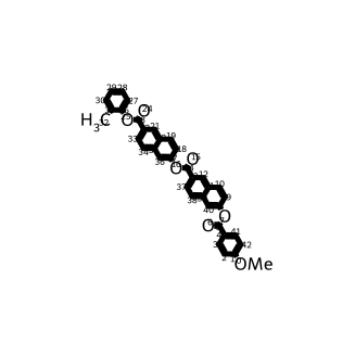 COc1ccc(C(=O)Oc2ccc3cc(C(=O)Oc4ccc5cc(C(=O)Oc6ccccc6C)ccc5c4)ccc3c2)cc1